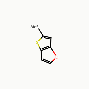 CSc1cc2occc2s1